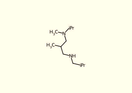 CC(C)CNCC(C)CN(C)C(C)C